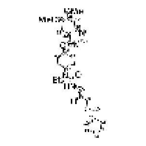 CCN(C(=O)NSC(=O)CCCc1ccccc1)c1ccc(Oc2ncnc3cc(OC)c(OC)cc23)cc1